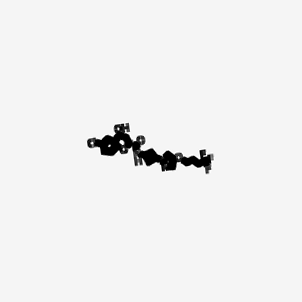 O=C(NC12CC(n3cc(OCCCC(F)(F)F)cn3)(C1)C2)[C@H]1C[C@@H](O)c2cc(Cl)ccc2O1